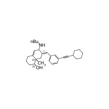 CCCCNC1C=C2CCC[C@H](O)[C@@]2(C)C/C1=C\c1cccc(C#CC2CCCCC2)c1